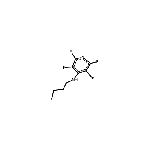 CCCCNc1c(F)c(F)nc(F)c1F